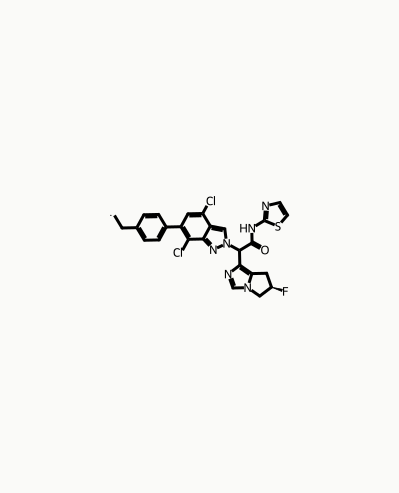 [CH2]Cc1ccc(-c2cc(Cl)c3cn(C(C(=O)Nc4nccs4)c4ncn5c4C[C@@H](F)C5)nc3c2Cl)cc1